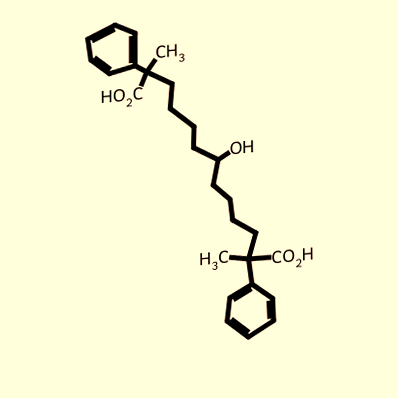 CC(CCCCC(O)CCCCC(C)(C(=O)O)c1ccccc1)(C(=O)O)c1ccccc1